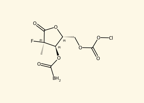 BC(=O)O[C@@H]1[C@@H](COC(=O)OCl)OC(=O)[C@]1(C)F